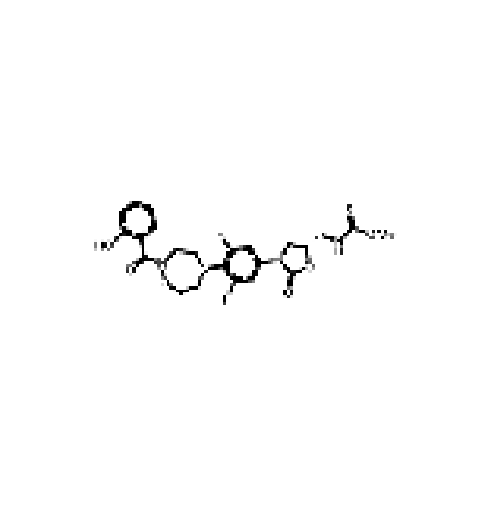 COC(=S)NC[C@H]1CN(c2cc(F)c(N3CCON(C(=O)c4ccccc4O)CC3)c(F)c2)C(=O)O1